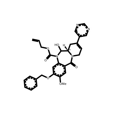 C=CCOC(=O)N1c2cc(OCc3ccccc3)c(OC)cc2C(=O)N2CC=C(c3cncnc3)C[C@H]2C1O